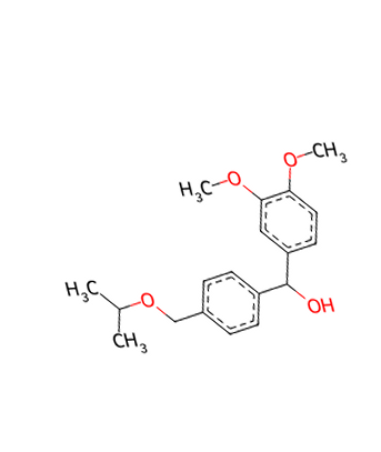 COc1ccc(C(O)c2ccc(COC(C)C)cc2)cc1OC